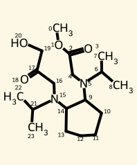 COC(=O)CN(C(C)C)C1CCCCC1N(CC(=O)CO)C(C)C